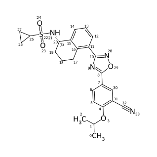 CC(C)Oc1ccc(-c2nc(-c3cccc4c3CCC[C@@H]4NS(=O)(=O)C3CC3)no2)cc1C#N